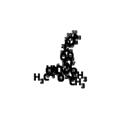 CC(C)C[C@@H]1NCCN([C@@H](CC(C)C)C(=O)N2CCC3(CC2)OCC(CN2CCC4(CC2)CC4)CO3)C1=O